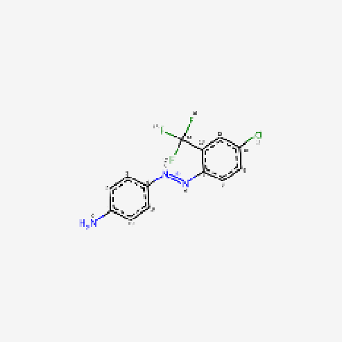 Nc1ccc(/N=N/c2ccc(Cl)cc2C(F)(F)F)cc1